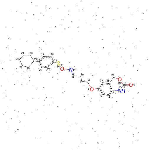 O=C1Nc2ccc(OCCCC=NOSc3ccc(C4CCCCC4)cc3)cc2CO1